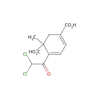 CC1(C(=O)O)CC(C(=O)O)=CC=C1C(=O)C(Cl)Cl